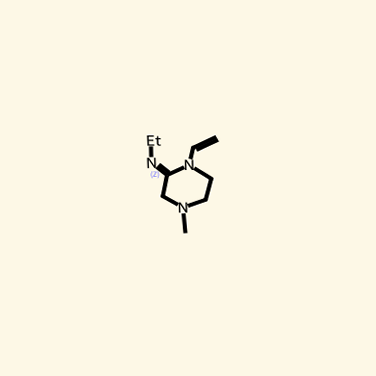 C=CN1CCN(C)C/C1=N/CC